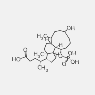 C[C@H](CCC(=O)O)[C@H]1CC[C@H]2[C@H]3[C@H](CC[C@]12C)[C@@H](C)CC[C@@H](O)CCC[C@H]3OP(=O)(O)O